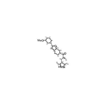 COc1cccc(-c2nc3ccc(C(=O)N(C)Cc4c(C)n[nH]c4C)cc3o2)c1